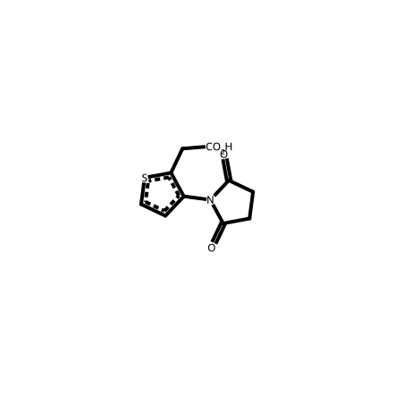 O=C(O)Cc1sccc1N1C(=O)CCC1=O